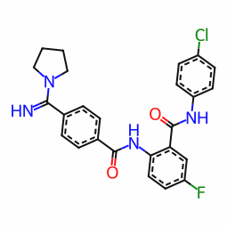 N=C(c1ccc(C(=O)Nc2ccc(F)cc2C(=O)Nc2ccc(Cl)cc2)cc1)N1CCCC1